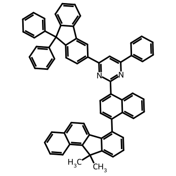 CC1(C)c2cccc(-c3ccc(-c4nc(-c5ccccc5)cc(-c5ccc6c(c5)-c5ccccc5C6(c5ccccc5)c5ccccc5)n4)c4ccccc34)c2-c2ccc3ccccc3c21